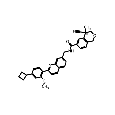 COc1cc(C2CCC2)ccc1-c1ccc2cnc(CNC(=O)c3ccc4c(c3)[C@](C)(C#N)COC4)cc2n1